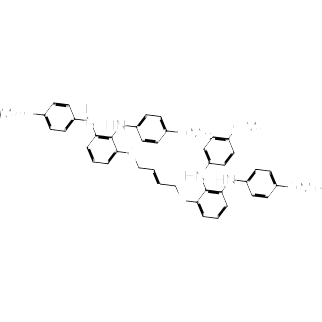 COc1ccc(Nc2cccc(OCC=CCOc3cccc(Nc4ccc(OC)cc4)c3Nc3ccc(OC)cc3)c2Nc2ccc(OC)cc2)cc1